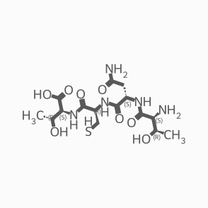 C[C@@H](O)[C@H](N)C(=O)N[C@@H](CC(N)=O)C(=O)N[C@@H](CS)C(=O)N[C@H](C(=O)O)[C@@H](C)O